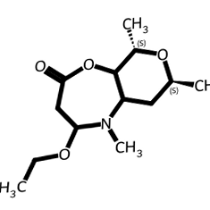 CCOC1CC(=O)OC2C(C[C@H](C)O[C@H]2C)N1C